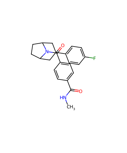 CNC(=O)c1ccc(C(=O)N2C3CCC2CC(c2ccc(F)cc2)C3)cc1